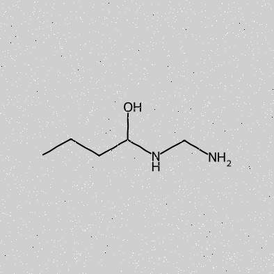 CCCC(O)NCN